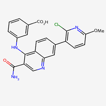 COc1ccc(-c2ccc3c(Nc4cccc(C(=O)O)c4)c(C(N)=O)cnc3c2)c(Cl)n1